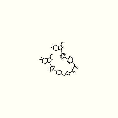 CCn1nc(-c2nc(-c3ccc(CC(=O)OC(=O)C4CN(Cc5ccc(-c6noc(-c7nn(CC)c8c7CCC(C)(C)C8)n6)cc5)C4)cc3)no2)c2c1CC(C)(C)CC2